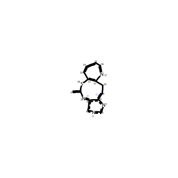 C=C1/N=c2/cncn/c2=C/CC2=C(C=C=CC=N2)S1